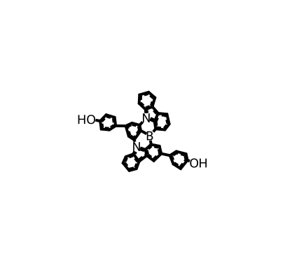 Oc1ccc(-c2cc3c4c(c2)-n2c5ccccc5c5cc(-c6ccc(O)cc6)cc(c52)B4c2cccc4c5ccccc5n-3c24)cc1